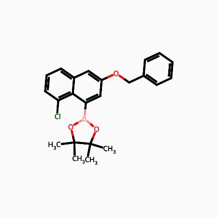 CC1(C)OB(c2cc(OCc3ccccc3)cc3cccc(Cl)c23)OC1(C)C